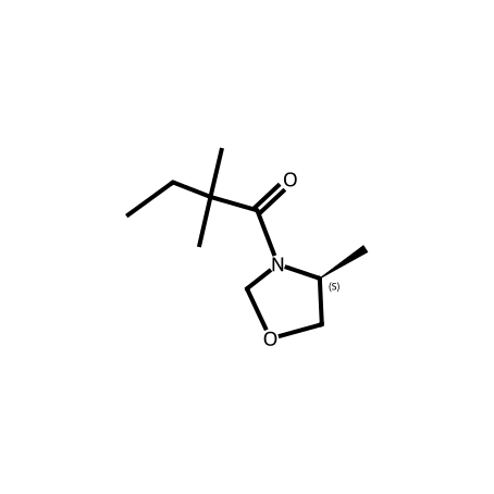 CCC(C)(C)C(=O)N1COC[C@@H]1C